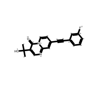 CC(C)(O)c1cnc2cc(C#Cc3cccc(F)c3)ccn2c1=O